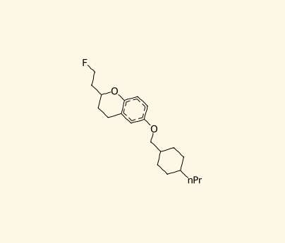 CCCC1CCC(COc2ccc3c(c2)CCC(CCF)O3)CC1